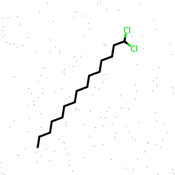 CCCCCCCCCCCCCC[C](Cl)Cl